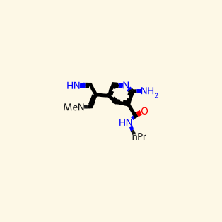 CCCNC(=O)c1cc(/C(C=N)=C/NC)cnc1N